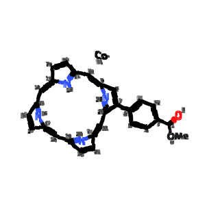 COC(=O)c1ccc(C2=CC3=CC4=NC(=CC5=NC(=CC6=NC(=CC2=N3)C=C6)C=C5)C=C4)cc1.[Co]